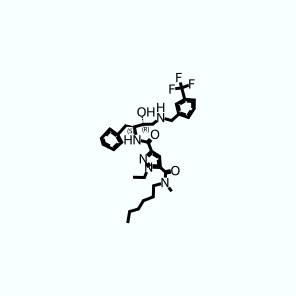 CCCCCCN(C)C(=O)c1cc(C(=O)N[C@@H](Cc2ccccc2)[C@H](O)CNCc2cccc(C(F)(F)F)c2)nn1CC